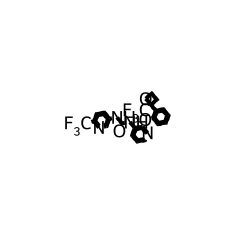 O=C(Nc1ccc(C(F)(F)F)nc1)Nc1cccnc1Oc1ccccc1C1(C(F)(F)F)CCO1